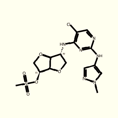 Cn1cc(Nc2ncc(Cl)c(N[C@@H]3COC4C3OC[C@@H]4OS(C)(=O)=O)n2)cn1